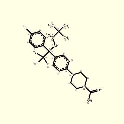 CC(C)(C)[S@@+]([O-])N[C@@](c1ccc(F)cc1)(c1cnc(N2CCN(C(=O)O)CC2)nc1)C(F)(F)F